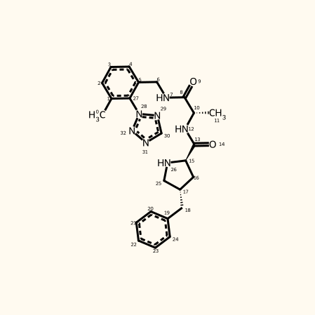 Cc1cccc(CNC(=O)[C@H](C)NC(=O)[C@H]2C[C@H](Cc3ccccc3)CN2)c1-n1ncnn1